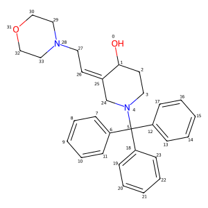 OC1CCN(C(c2ccccc2)(c2ccccc2)c2ccccc2)CC1=CCN1CCOCC1